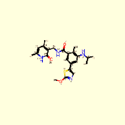 COc1ncc(-c2cc(NC(C)C)c(C)c(C(=O)NCc3c(C)cc(C)[nH]c3=O)c2)s1